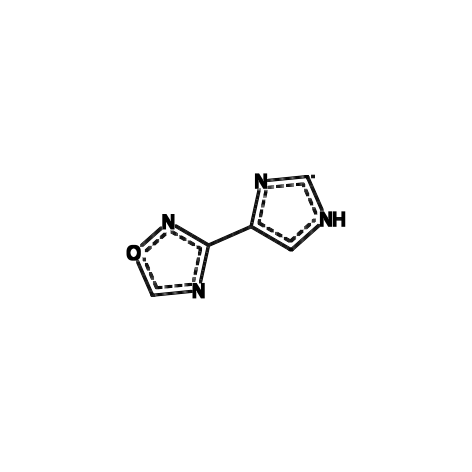 [c]1nc(-c2ncon2)c[nH]1